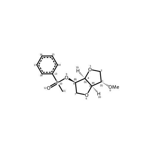 CO[C@H]1CO[C@H]2[C@@H]1OC[C@H]2OP(C)(=O)c1ccccc1